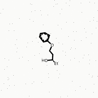 [CH2]C[C@@H](O)CCOc1ccccc1